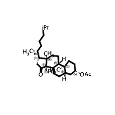 CCC[C@@]12C(=O)C[C@H]([C@H](C)CCCC(C)C)[C@@]1(C)CC[C@H]1C2=CC[C@H]2C[C@@H](OC(C)=O)CC[C@@]21C